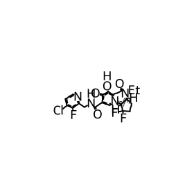 CCN1C(=O)c2c(O)c(=O)c(C(=O)NCc3nccc(Cl)c3F)cn2[C@@H]2[C@H]1CCC2(F)F